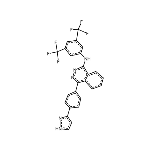 FC(F)(F)c1cc(Nc2nnc(-c3ccc(-c4cc[nH]n4)cc3)c3ccccc23)cc(C(F)(F)F)c1